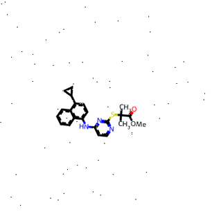 COC(=O)C(C)(C)Sc1nccc(Nc2ccc(C3CC3)c3ccccc23)n1